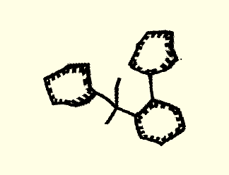 CC(C)(c1ccccc1)c1ccccc1-c1[c]cccc1